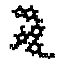 CCOC(=O)c1cncc(-c2cnc(Nc3ccc4c(c3)OCO4)nc2-n2nc(C(F)(F)F)cc2C)c1